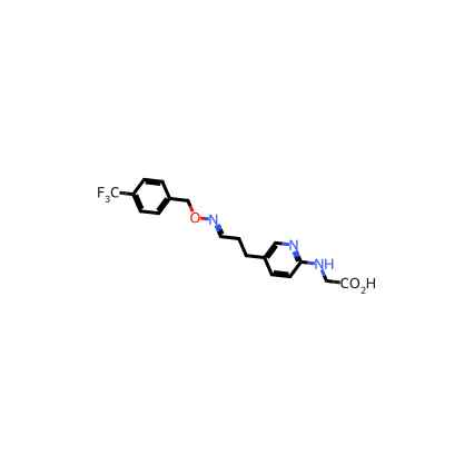 O=C(O)CNc1ccc(CCC=NOCc2ccc(C(F)(F)F)cc2)cn1